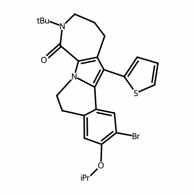 CC(C)Oc1cc2c(cc1Br)-c1c(-c3cccs3)c3c(n1CC2)C(=O)N(C(C)(C)C)CCC3